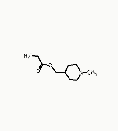 CCC(=O)OCC1CCN(C)CC1